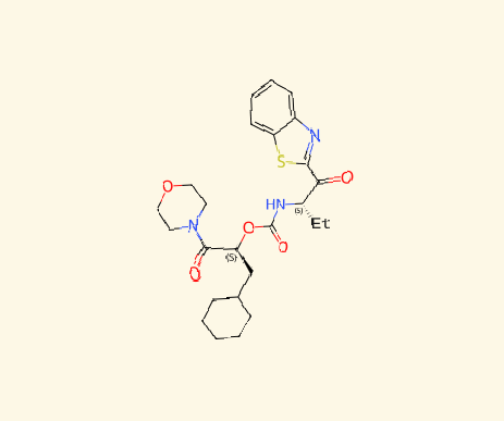 CC[C@H](NC(=O)O[C@@H](CC1CCCCC1)C(=O)N1CCOCC1)C(=O)c1nc2ccccc2s1